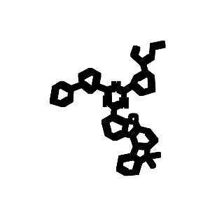 C=C/C=C(\C=C)c1cccc(-c2nc(-c3cccc(-c4ccccc4)c3)nc(-c3cccc4c3oc3ccc5c(c34)-c3ccccc3C5(C)C)n2)c1